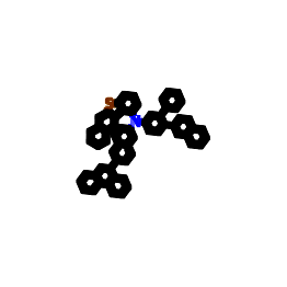 c1ccc(-c2cc(N(c3ccc4cc(-c5cc6ccccc6c6ccccc56)ccc4c3)c3cccc4sc5cc6ccccc6cc5c34)ccc2-c2ccc3ccccc3c2)cc1